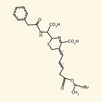 CCCCN(C)OC(=O)C/C=C/C=C1\CSC(C(NC(=O)Cc2ccccc2)C(=O)O)N=C1C(=O)O